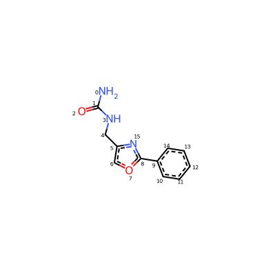 NC(=O)NCc1coc(-c2ccccc2)n1